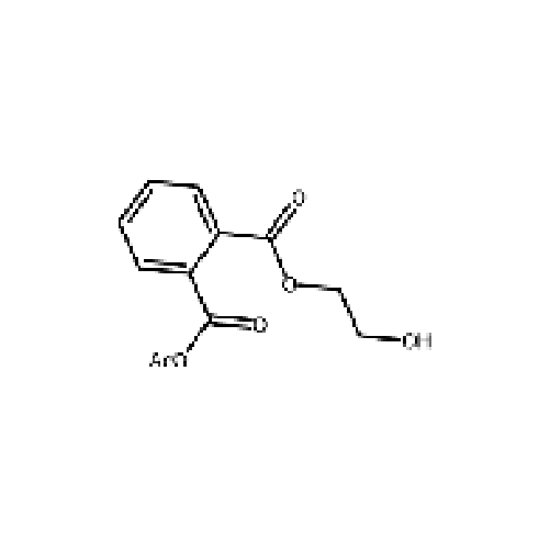 CC(=O)OC(=O)c1ccccc1C(=O)OCCO